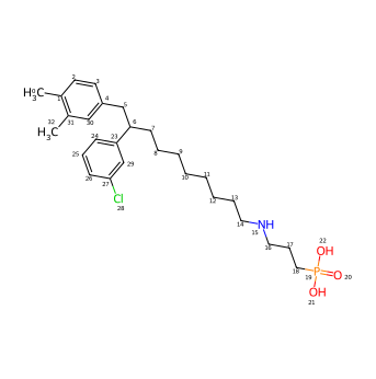 Cc1ccc(CC(CCCCCCCCNCCCP(=O)(O)O)c2cccc(Cl)c2)cc1C